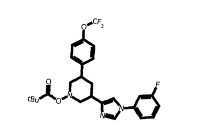 CC(C)(C)C(=O)ON1CC(c2ccc(OC(F)(F)F)cc2)CC(c2cn(-c3cccc(F)c3)cn2)C1